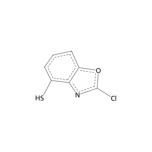 Sc1cccc2oc(Cl)nc12